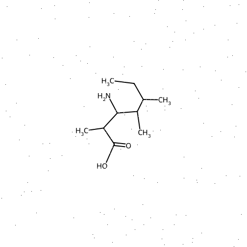 CCC(C)C(C)C(N)C(C)C(=O)O